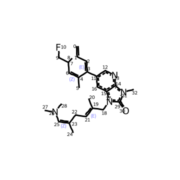 C=C/C=C(\C(C)=C/C(C)CF)c1cnc2c(c1)n(C/C(C)=C/C/C(C)=C\N(C)C)c(=O)n2C